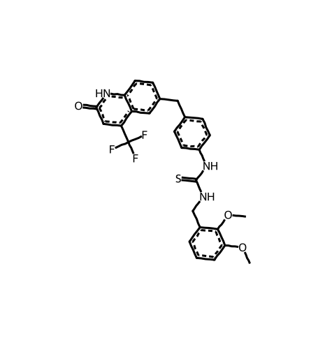 COc1cccc(CNC(=S)Nc2ccc(Cc3ccc4[nH]c(=O)cc(C(F)(F)F)c4c3)cc2)c1OC